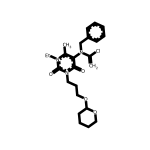 C=C(Cl)N(Cc1ccccc1)c1c(C)n(CC)c(=O)n(CCCOC2CCCCO2)c1=O